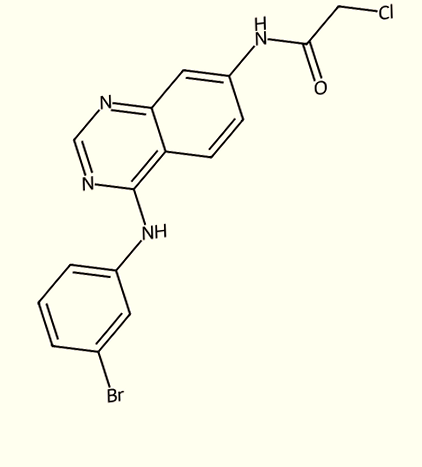 O=C(CCl)Nc1ccc2c(Nc3cccc(Br)c3)ncnc2c1